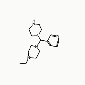 CCN1CCN(C(c2cccnc2)N2CCNCC2)CC1